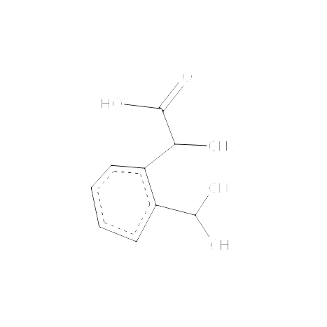 CC(C)c1ccccc1C(C)C(=O)O